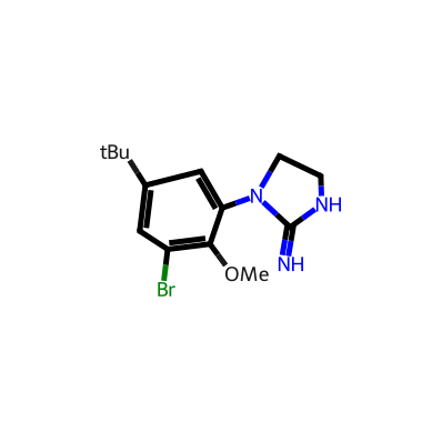 COc1c(Br)cc(C(C)(C)C)cc1N1CCNC1=N